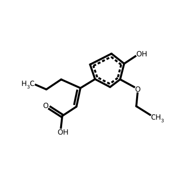 CCCC(=CC(=O)O)c1ccc(O)c(OCC)c1